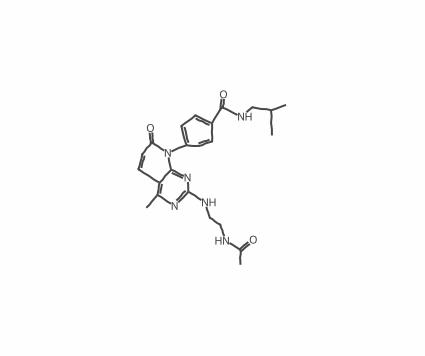 CC(=O)NCCNc1nc(C)c2ccc(=O)n(-c3ccc(C(=O)NCC(C)C)cc3)c2n1